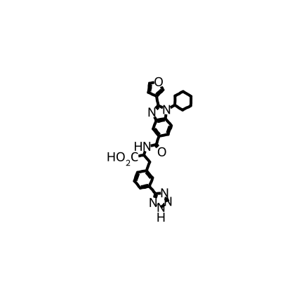 O=C(NC(Cc1cccc(-c2nn[nH]n2)c1)C(=O)O)c1ccc2c(c1)nc(-c1ccoc1)n2C1CCCCC1